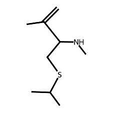 C=C(C)C(CSC(C)C)NC